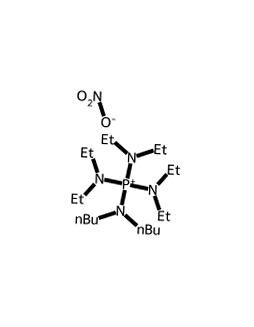 CCCCN(CCCC)[P+](N(CC)CC)(N(CC)CC)N(CC)CC.O=[N+]([O-])[O-]